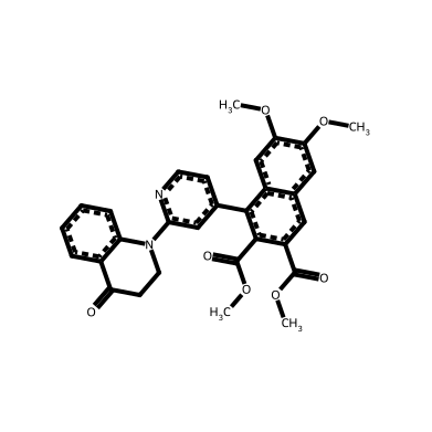 COC(=O)c1cc2cc(OC)c(OC)cc2c(-c2ccnc(N3CCC(=O)c4ccccc43)c2)c1C(=O)OC